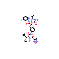 Cc1nonc1C(=O)N[C@H](C(=O)Nc1ccc2c(c1)CC(C(=O)Nc1cccc(F)c1)(N1C[C@@H](C(C)C)NC1=O)C2)C(C1CC1)C1CC1